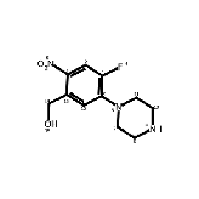 O=[N+]([O-])c1cc(F)c(N2CCNCC2)cc1CO